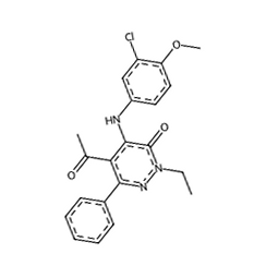 CCn1nc(-c2ccccc2)c(C(C)=O)c(Nc2ccc(OC)c(Cl)c2)c1=O